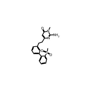 Cn1c(N)nc(CCc2cccc(-c3ccccc3S(C)(=O)=O)c2)cc1=O